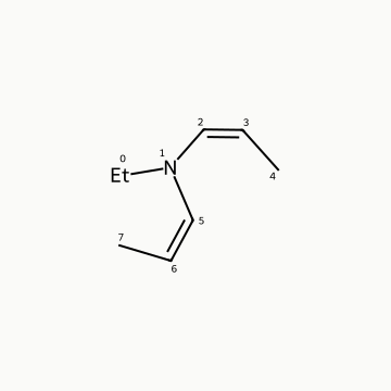 [CH2]CN(/C=C\C)/C=C\C